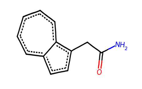 NC(=O)Cc1ccc2cccccc1-2